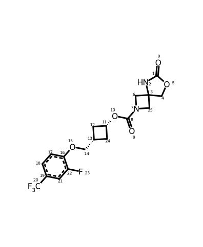 O=C1NC2(CO1)CN(C(=O)O[C@H]1C[C@@H](COc3ccc(C(F)(F)F)cc3F)C1)C2